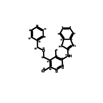 Cc1c(Nc2nc3ccccc3s2)nnc(Cl)c1COCc1ccccc1